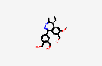 CC[C@@H]1C(C)=NN=C(c2ccc(CO)c(CO)c2)c2cc(CO)c(OC)cc21